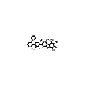 Bc1c(O)c(O)c2c(oc3c(C)c(-c4ccc(-c5ccccc5-c5ccccc5)c(C)c4)c(B)c(B)c32)c1O